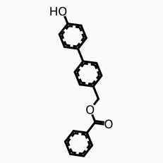 O=C(OCc1ccc(-c2ccc(O)cc2)cc1)c1ccccc1